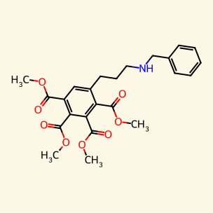 COC(=O)c1cc(CCCNCc2ccccc2)c(C(=O)OC)c(C(=O)OC)c1C(=O)OC